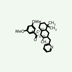 COc1cc(OC)cc(C(=O)[C@H]2[C@H](C)C(Cc3ccccn3)CC3C(C)(C)CCC[C@@]32C)c1